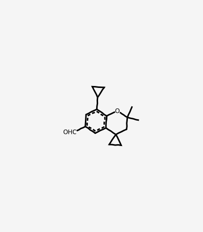 CC1(C)CC2(CC2)c2cc(C=O)cc(C3CC3)c2O1